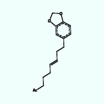 CC(=O)CCCC=CCCc1ccc2c(c1)OCO2